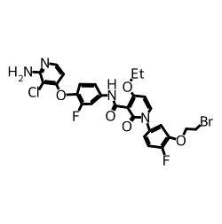 CCOc1ccn(-c2ccc(F)c(OCCBr)c2)c(=O)c1C(=O)Nc1ccc(Oc2ccnc(N)c2Cl)c(F)c1